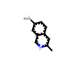 CNc1ccc2cc(C)ncc2c1